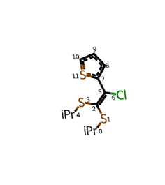 CC(C)SC(SC(C)C)=C(Cl)c1cccs1